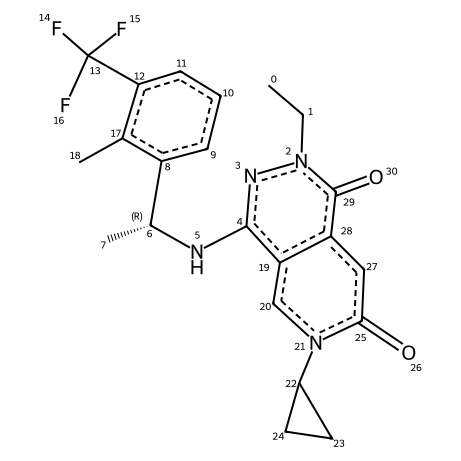 CCn1nc(N[C@H](C)c2cccc(C(F)(F)F)c2C)c2cn(C3CC3)c(=O)cc2c1=O